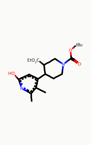 CCOC(=O)C1CN(C(=O)OC(C)(C)C)CCC1c1cc(O)nc(C)c1C